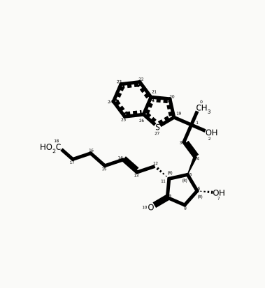 CC(O)(C=C[C@H]1[C@H](O)CC(=O)[C@@H]1CC=CCCCC(=O)O)c1cc2ccccc2s1